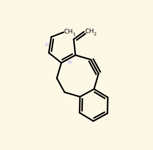 C=C/C1=C(\C=C/C)CCc2ccccc2C#C1